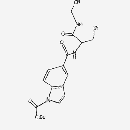 CC(C)COC(=O)n1ccc2cc(C(=O)NC(CC(C)C)C(=O)NCC#N)ccc21